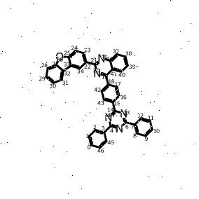 c1ccc(-c2nc(-c3ccccc3)nc(-c3ccc(-c4nc(-c5ccc6oc7ccccc7c6c5)nc5ccccc45)cc3)n2)cc1